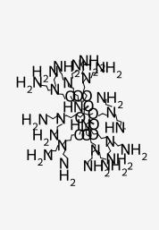 CNCCCN(CCCN)CCCOC(C(=O)NC(COCCCN(CCCN)CCCN)(COCCCN(CCCN)CCCN)OCCCN(CCCN)CCCN)C(OCCCN(CCCN)CCCN)C(=O)NC(COCCCN(CCCN)CCCN)(COCCCN(CCCN)CCCN)OCCCN(CCCN)CCCN